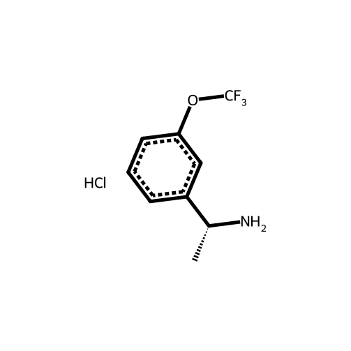 C[C@@H](N)c1cccc(OC(F)(F)F)c1.Cl